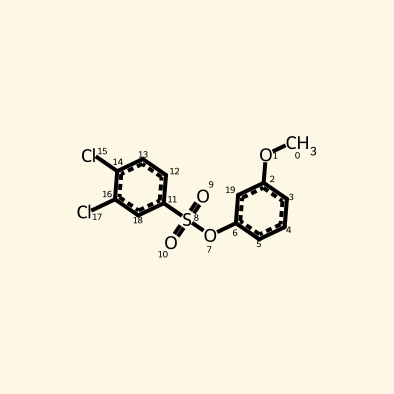 COc1cccc(OS(=O)(=O)c2ccc(Cl)c(Cl)c2)c1